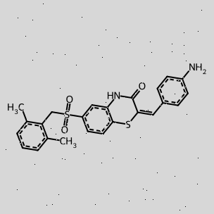 Cc1cccc(C)c1CS(=O)(=O)c1ccc2c(c1)NC(=O)/C(=C\c1ccc(N)cc1)S2